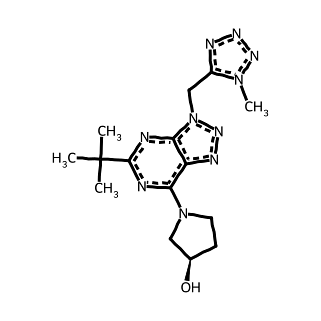 Cn1nnnc1Cn1nnc2c(N3CC[C@@H](O)C3)nc(C(C)(C)C)nc21